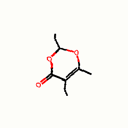 CC1=C(C)C(=O)OC(C)O1